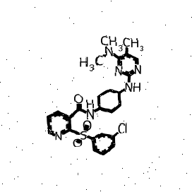 Cc1cnc(NC2CCC(NC(=O)c3cccnc3S(=O)(=O)c3cccc(Cl)c3)CC2)nc1N(C)C